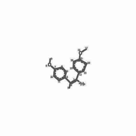 [2H]C(=C(C)c1ccc(OC)cc1)c1ccc(OC)cc1